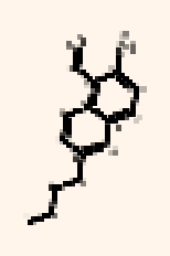 CCCCc1ccc2c(C=O)c(O)ccc2c1